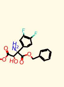 COC(=O)[C@H](O)[C@](N)(C(=O)OCc1ccccc1)c1ccc(F)c(F)c1